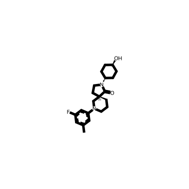 Cc1cc(F)cc(N2CCC[C@]3(CCN([C@H]4CC[C@H](O)CC4)C3=O)C2)c1